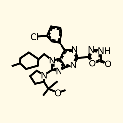 COC(C)(C)C1CCCN1c1nc2nc(-c3n[nH]c(=O)o3)nc(-c3cccc(Cl)c3)c2n1CC1CCC(C)CC1